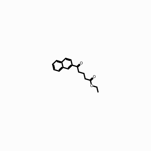 CCOC(=O)CCCC(=O)c1ccc2ccccc2c1